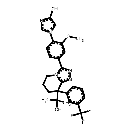 COc1cc(-c2nnc3n2CCCC3(c2cccc(C(F)(F)F)c2)C(C)(C)O)ccc1-n1cnc(C)c1